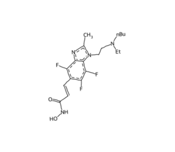 CCCCN(CC)CCn1c(C)nc2c(F)c(C=CC(=O)NO)c(F)c(F)c21